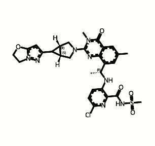 Cc1cc([C@@H](C)Nc2ccc(Cl)nc2C(=O)NS(C)(=O)=O)c2nc(N3C[C@@H]4C(c5cc6n(n5)CCO6)[C@@H]4C3)n(C)c(=O)c2c1